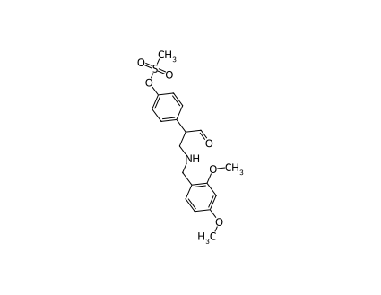 COc1ccc(CNCC(C=O)c2ccc(OS(C)(=O)=O)cc2)c(OC)c1